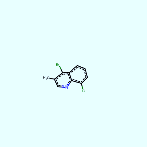 Cc1cnc2c(Cl)cccc2c1Br